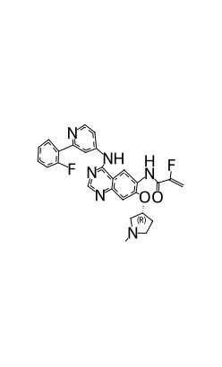 C=C(F)C(=O)Nc1cc2c(Nc3ccnc(-c4ccccc4F)c3)ncnc2cc1O[C@@H]1CCN(C)C1